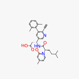 C#Cc1ncc([C@@H](CC(=O)O)NC(=O)[C@@H](CCC(C)C)n2ccc(C)cc2=O)cc1-c1c(C)cccc1C